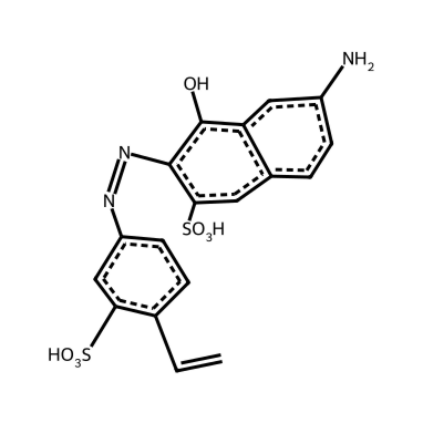 C=Cc1ccc(/N=N\c2c(S(=O)(=O)O)cc3ccc(N)cc3c2O)cc1S(=O)(=O)O